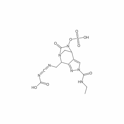 CCNC(=O)n1cc2c(n1)C(CN=C=NC(=O)O)N1CC2N(OS(=O)(=O)O)C1=O